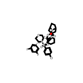 O=C(OC1([C@H]2COC[C@@H](c3cc(F)cc(F)c3)N2S(=O)(=O)c2ccc(Cl)cc2)CC1)N1C2CCC1CC(N1CCCCC1)C2